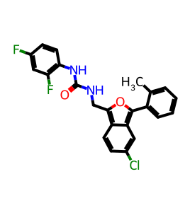 Cc1ccccc1-c1oc(CNC(=O)Nc2ccc(F)cc2F)c2ccc(Cl)cc12